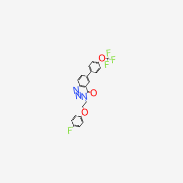 O=c1c2cc(-c3ccc(OC(F)(F)F)cc3)ccc2nnn1CCOc1ccc(F)cc1